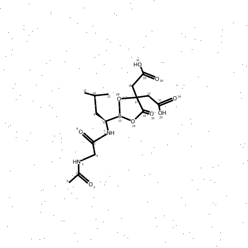 CC(=O)NCC(=O)N[C@@H](CC(C)C)B1OC(=O)C(CC(=O)O)(CC(=O)O)O1